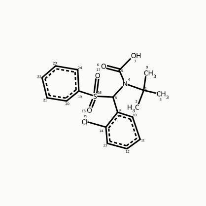 CC(C)(C)N(C(=O)O)C(c1ccccc1Cl)S(=O)(=O)c1ccccc1